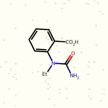 CCN(C(N)=O)c1ccccc1C(=O)O